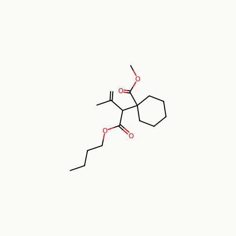 C=C(C)C(C(=O)OCCCC)C1(C(=O)OC)CCCCC1